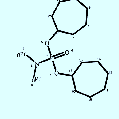 CCCN(CCC)P(=O)(OC1CCCCCC1)OC1CCCCCC1